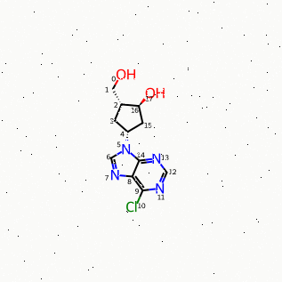 OC[C@H]1C[C@@H](n2cnc3c(Cl)ncnc32)C[C@@H]1O